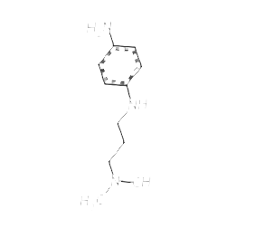 CN(C)CCCNc1ccc(N)cc1